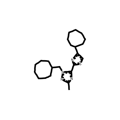 Cc1nc(-c2nc(C3CCCCCCC3)cs2)n(CC2CCCCCCC2)n1